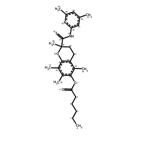 CCCCCC(=O)Oc1c(C)c(C)c2c(c1C)CCC(C)(C(=S)Nc1cc(C)cc(C)n1)O2